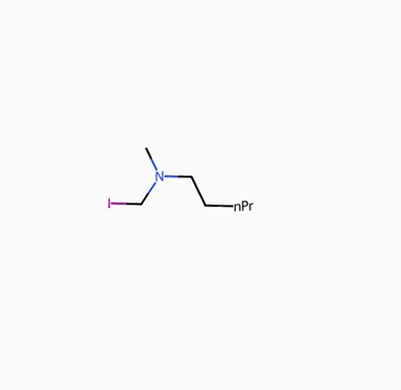 CCCCCN(C)CI